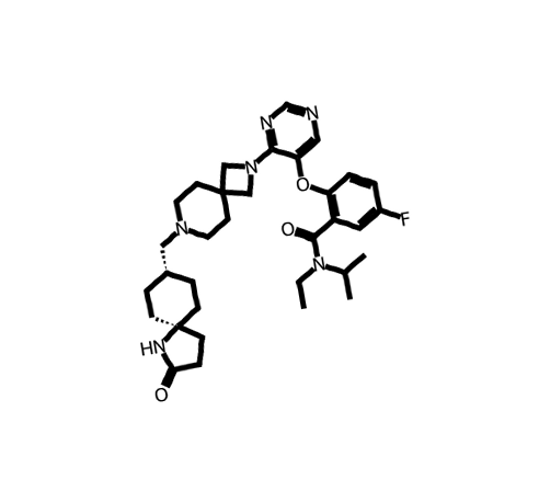 CCN(C(=O)c1cc(F)ccc1Oc1cncnc1N1CC2(CCN(C[C@H]3CC[C@@]4(CCC(=O)N4)CC3)CC2)C1)C(C)C